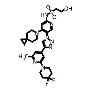 Cc1cc(-c2cn(-c3cnc(NS(=O)(=O)CCO)cc3N3CCC4(CC3)CC4)nn2)cc(N2CCC(F)(F)CC2)n1